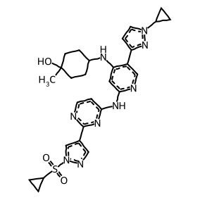 CC1(O)CCC(Nc2cc(Nc3ccnc(-c4cnn(S(=O)(=O)C5CC5)c4)n3)ncc2-c2ccn(C3CC3)n2)CC1